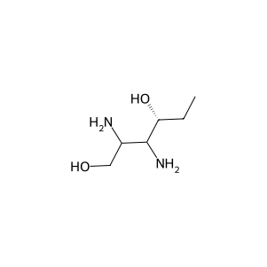 CC[C@@H](O)C(N)C(N)CO